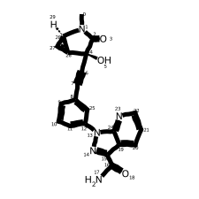 CN1C(=O)[C@](O)(C#Cc2cccc(-n3nc(C(N)=O)c4cccnc43)c2)C2=C[C@H]21